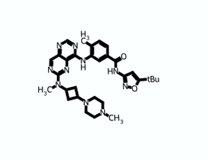 Cc1ccc(C(=O)Nc2cc(C(C)(C)C)on2)cc1Nc1ncnc2cnc(N(C)C3CC(N4CCN(C)CC4)C3)nc12